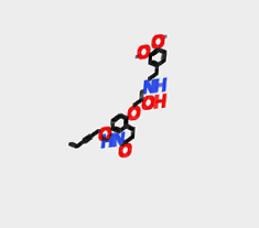 CCC#CCOc1ccc(OCC(O)CNCCc2ccc(OC)c(OC)c2)c2c1NC(=O)CC2